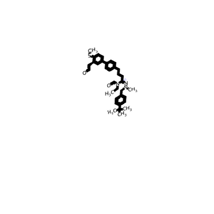 CCN(C=O)/C(CCCc1ccc(-c2ccc(SC)c(CC=O)c2)cc1)=N\N(C)Cc1ccc(C(C)(C)C)cc1